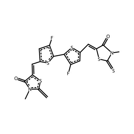 C=c1s/c(=C\c2cc(F)c(-c3sc(/C=C4\SC(=S)N(C)C4=O)cc3F)s2)c(=O)n1C